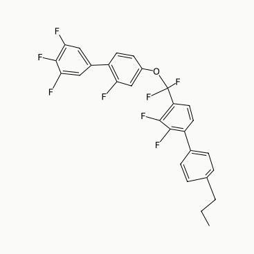 CCCc1ccc(-c2ccc(C(F)(F)Oc3ccc(-c4cc(F)c(F)c(F)c4)c(F)c3)c(F)c2F)cc1